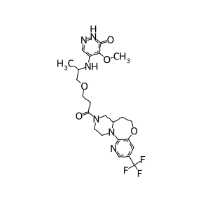 COc1c(NC(C)COCCC(=O)N2CCN3c4ncc(C(F)(F)F)cc4OCCC3C2)cn[nH]c1=O